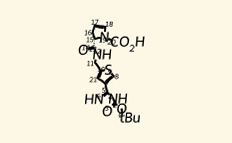 CC(C)(C)OC(=O)NC(=N)c1csc(CNC(=O)[C@@H]2CC=CN2C(=O)O)c1